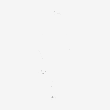 CC1C=Cc2oc(C(C)C)cc2N=C1